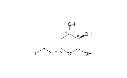 OC1O[C@H](CCI)C[C@H](O)[C@H]1O